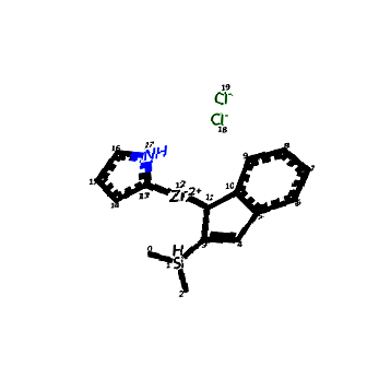 C[SiH](C)C1=Cc2ccccc2[CH]1[Zr+2][c]1ccc[nH]1.[Cl-].[Cl-]